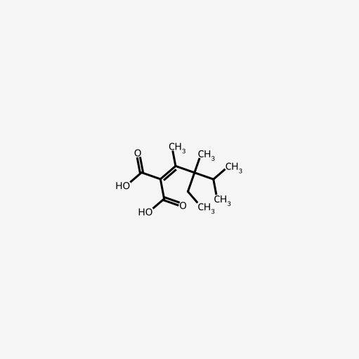 CCC(C)(C(C)=C(C(=O)O)C(=O)O)C(C)C